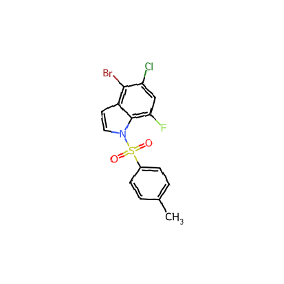 Cc1ccc(S(=O)(=O)n2ccc3c(Br)c(Cl)cc(F)c32)cc1